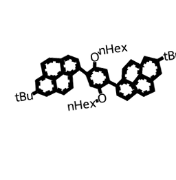 CCCCCCOc1cc(-c2ccc3ccc4cc(C(C)(C)C)cc5ccc2c3c45)c(OCCCCCC)cc1-c1ccc2ccc3cc(C(C)(C)C)cc4ccc1c2c34